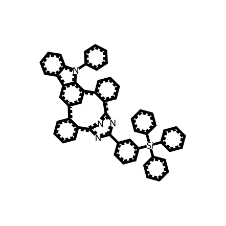 c1ccc(-n2c3ccccc3c3cc4cc(c5ccccc5c5nc(-c6cccc([Si](c7ccccc7)(c7ccccc7)c7ccccc7)c6)nc(n5)c5ccccc45)c32)cc1